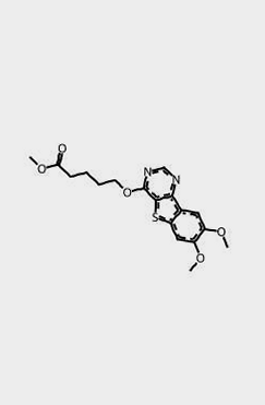 COC(=O)CCCCOc1ncnc2c1sc1cc(OC)c(OC)cc12